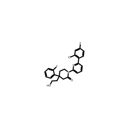 O=C1CC(CCO)(c2ccccc2F)CCN1c1cccc(-c2ccc(F)cc2Cl)n1